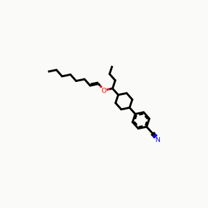 CCCCCC/C=C/OC(CCC)C1CCC(c2ccc(C#N)cc2)CC1